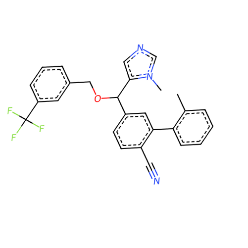 Cc1ccccc1-c1cc(C(OCc2cccc(C(F)(F)F)c2)c2cncn2C)ccc1C#N